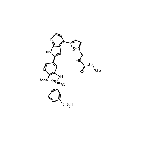 COc1ncc(-c2cc3c(-c4ccc(CNC(=O)OC(C)(C)C)s4)ccnc3[nH]2)cc1NS(=O)(=O)c1cccc(C(=O)O)c1